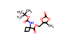 Cc1oc(=O)oc1COC(=O)C1(NC(=O)OC(C)(C)C)CCC1